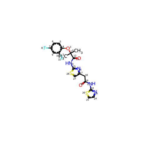 CC(C)(Oc1ccc(F)cc1F)C(=O)Nc1nc(CC(=O)Nc2nccs2)cs1